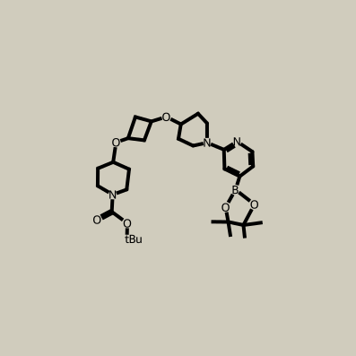 CC(C)(C)OC(=O)N1CCC(OC2CC(OC3CCN(c4cc(B5OC(C)(C)C(C)(C)O5)ccn4)CC3)C2)CC1